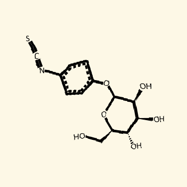 OC[C@H]1OC(Oc2ccc(N=C=S)cc2)[C@@H](O)[C@@H](O)[C@@H]1O